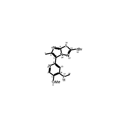 COc1cnc(-c2c(C)nc3sc(C(C)(C)C)nn23)cc1PC